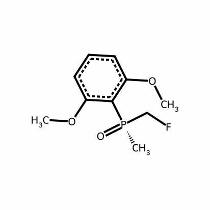 COc1cccc(OC)c1[P@](C)(=O)CF